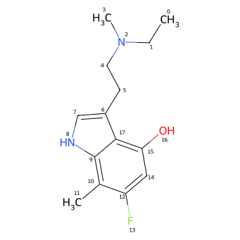 CCN(C)CCc1c[nH]c2c(C)c(F)cc(O)c12